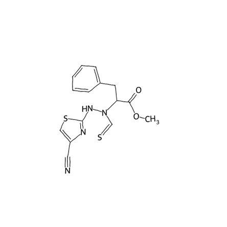 COC(=O)C(Cc1ccccc1)N(C=S)Nc1nc(C#N)cs1